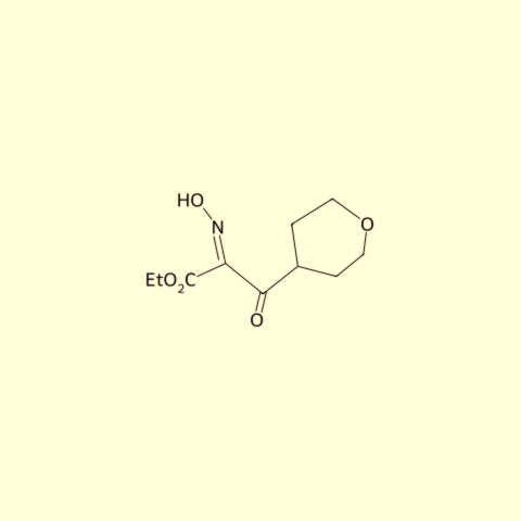 CCOC(=O)C(=NO)C(=O)C1CCOCC1